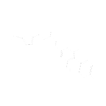 Cc1cc(SCC(C)CCc2ccc(C(=O)O)s2)cc(C)c1-c1ccc(C(C)(C)C)cc1